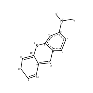 CN(C)c1ccc2c(c1)SC1=CCC=CC1=N2